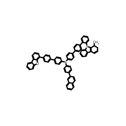 CC1CC=Cc2c1n(-c1ccccc1-c1ccc(-c3ccc(N(c4ccc(-c5ccc(-c6cccc7c6oc6ccccc67)cc5)cc4)c4ccc(-c5ccc6ccccc6c5)cc4)cc3)cc1)c1ccccc21